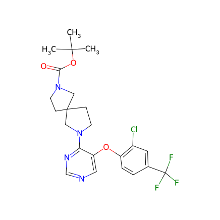 CC(C)(C)OC(=O)N1CCC2(CCN(c3ncncc3Oc3ccc(C(F)(F)F)cc3Cl)C2)C1